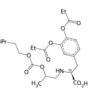 CCC(=O)Oc1ccc(C[C@H](NCC(C)OC(=O)OCCC(C)C)C(=O)O)cc1OC(=O)CC